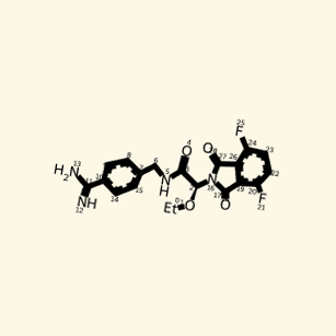 CCO[C@@H](C(=O)NCc1ccc(C(=N)N)cc1)N1C(=O)c2c(F)ccc(F)c2C1=O